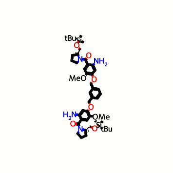 COc1cc(C(=O)N2CCC[C@H]2CO[Si](C)(C)C(C)(C)C)c(N)cc1OCc1cccc(COc2cc(N)c(C(=O)N3CCC[C@H]3CO[Si](C)(C)C(C)(C)C)cc2OC)c1